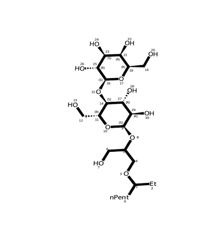 CCCCCC(CC)OCC(CO)O[C@H]1O[C@H](CO)[C@@H](O[C@@H]2O[C@H](CO)[C@H](O)[C@H](O)[C@H]2O)[C@H](O)[C@H]1O